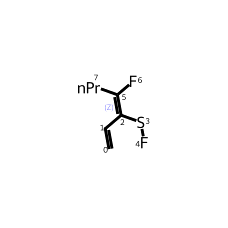 C=C/C(SF)=C(/F)CCC